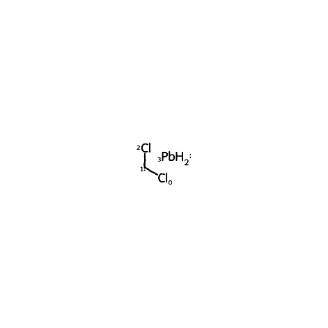 Cl[CH]Cl.[PbH2]